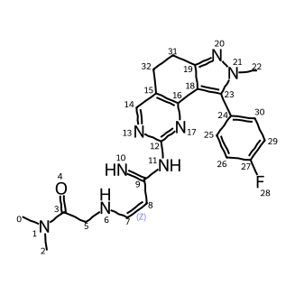 CN(C)C(=O)CN/C=C\C(=N)Nc1ncc2c(n1)-c1c(nn(C)c1-c1ccc(F)cc1)CC2